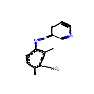 Cc1ccc(N=C=C2C=NC=CC2)c(C)c1[N+](=O)[O-]